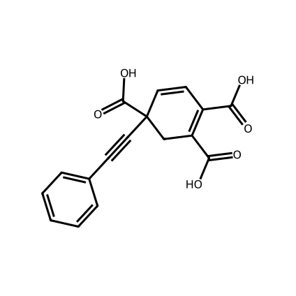 O=C(O)C1=C(C(=O)O)CC(C#Cc2ccccc2)(C(=O)O)C=C1